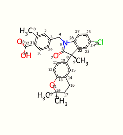 Cc1cc(CN2C(=O)[C@@](C)(c3ccc4c(c3)CCC(C)(C)O4)c3cc(Cl)ccc32)ccc1C(=O)O